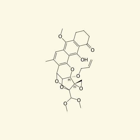 C=CCO[C@@]12Oc3c(c(C)cc4c(OC)c5c(c(O)c34)C(=O)CCC5)C3OC(C(OC)OC)(OC31)[C@]21CO1